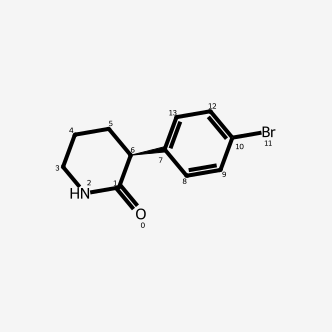 O=C1NCCC[C@H]1c1ccc(Br)cc1